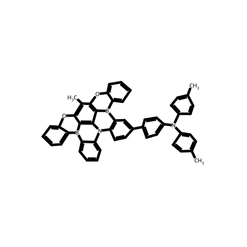 Cc1ccc(N(c2ccc(C)cc2)c2ccc(-c3ccc4c(c3)B3c5ccccc5Oc5c(C)c6c7c(c53)N4c3ccccc3B7c3ccccc3O6)cc2)cc1